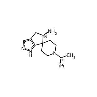 CC(C)[C@H](C)N1CCC2(CC1)c1[nH]ncc1C[C@H]2N